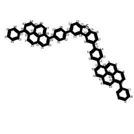 c1ccc(-c2ccc3ccc4c(-c5ccc(-c6ccc7sc8ccc(-c9ccc(-c%10ccc%11ccc%12c(-c%13ccccc%13)ccc%13ccc%10c%11c%13%12)cc9)cc8c7c6)cc5)ccc5ccc2c3c54)cc1